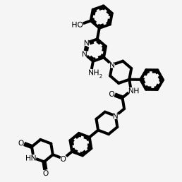 Nc1nnc(-c2ccccc2O)cc1N1CCC(NC(=O)CN2CCC(c3ccc(OC4CCC(=O)NC4=O)cc3)CC2)(c2ccccc2)CC1